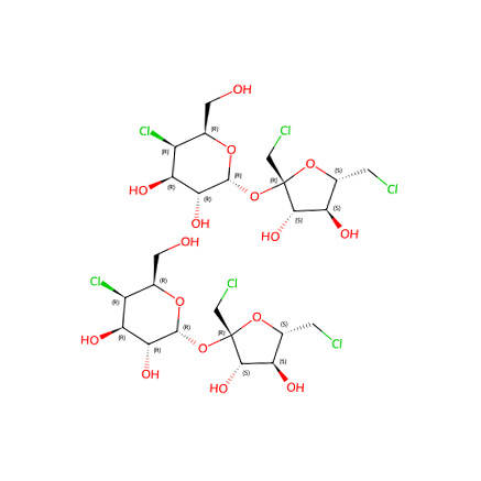 OC[C@H]1O[C@H](O[C@]2(CCl)O[C@H](CCl)[C@@H](O)[C@@H]2O)[C@H](O)[C@@H](O)[C@H]1Cl.OC[C@H]1O[C@H](O[C@]2(CCl)O[C@H](CCl)[C@@H](O)[C@@H]2O)[C@H](O)[C@@H](O)[C@H]1Cl